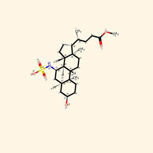 COC(=O)CC[C@@H](C)[C@H]1CC[C@H]2[C@@H]3[C@H](NS(=O)(=O)O)C[C@@H]4C[C@H](O)CC[C@]4(C)[C@H]3CC[C@]12C